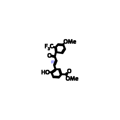 COC(=O)c1ccc(O)c(/C=C/C(=O)c2ccc(OC)cc2C(F)(F)F)c1